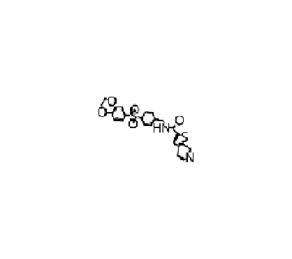 O=C(NCc1ccc(S(=O)(=O)c2ccc3c(c2)OCCO3)cc1)c1cc2ccncc2s1